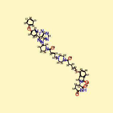 Nc1ncnc2c1c(-c1ccc(Oc3ccccc3)cc1)nn2C1CCCN(C(=O)/C=C/CN2CCN(C(=O)CCCCSc3cccc4c3CN(C3CCC(=O)NC3=O)C4=O)CC2)C1